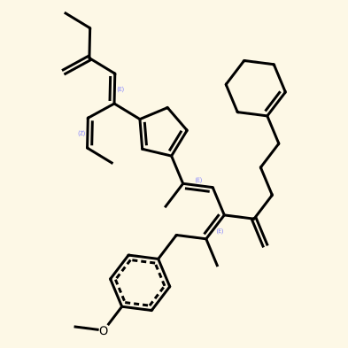 C=C(/C=C(\C=C/C)C1=CC(/C(C)=C/C(C(=C)CCCC2=CCCCC2)=C(/C)Cc2ccc(OC)cc2)=CC1)CC